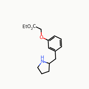 CCOC(=O)COc1cccc(CC2CCCN2)c1